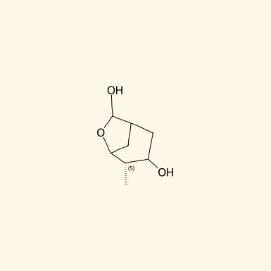 C[C@H]1C(O)CC2CC1OC2O